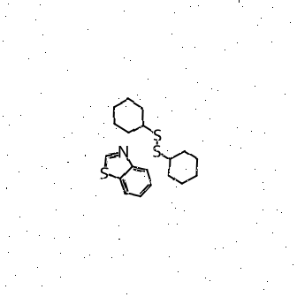 C1CCC(SSC2CCCCC2)CC1.c1ccc2scnc2c1